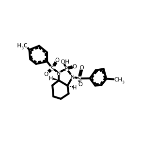 Cc1ccc(S(=O)(=O)N2[C@H]3CCCC[C@@H]3N(S(=O)(=O)c3ccc(C)cc3)P2(=O)O)cc1